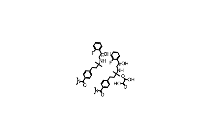 CN(C)C(=O)c1ccc(CCC(C)(C)NC[C@H](O)c2ccccc2F)cc1.CN(C)C(=O)c1ccc(CCC(C)(C)NC[C@H](O)c2ccccc2F)cc1.O=C(O)C(=O)O